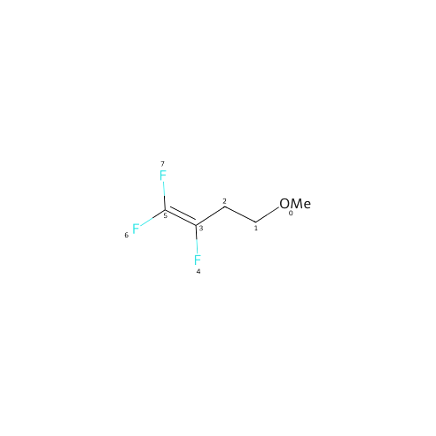 COCCC(F)=C(F)F